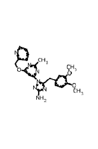 COc1ccc(Cc2nc(N)nn2-c2cc(OCc3ccccn3)nc(C)n2)cc1OC